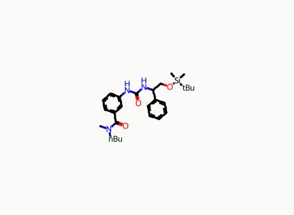 CCCCN(C)C(=O)c1cccc(NC(=O)NC(CO[Si](C)(C)C(C)(C)C)c2ccccc2)c1